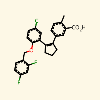 Cc1ccc(C2=C(c3cc(Cl)ccc3OCc3ccc(F)cc3F)CCC2)cc1C(=O)O